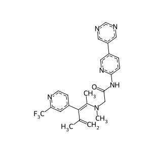 C=C(C)/C(=C(/C)N(C)CC(=O)Nc1ccc(-c2cncnc2)cn1)c1ccnc(C(F)(F)F)c1